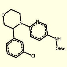 CONc1ccc(N2CCOCC2c2cccc(Cl)c2)nc1